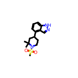 CC1(C)CC(c2cccc3[nH]ncc23)CCN1S(C)(=O)=O